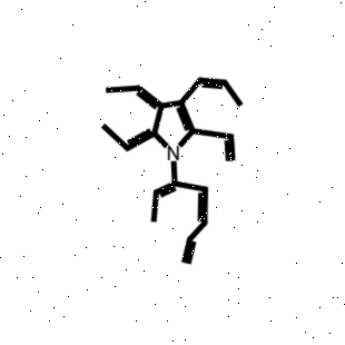 C=C/C=C\C(=C/C)n1c(C=C)c(/C=C\C)c(=C/C)/c1=C\C